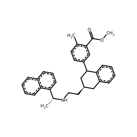 COC(=O)c1cc(C2C[C@H](CCN[C@H](C)c3cccc4ccccc34)Cc3ccccc32)ccc1C